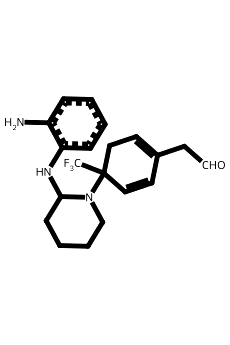 Nc1ccccc1NC1CCCCN1C1(C(F)(F)F)C=CC(CC=O)=CC1